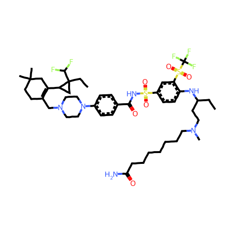 CCC(CCN(C)CCCCCCCC(N)=O)Nc1ccc(S(=O)(=O)NC(=O)c2ccc(N3CCN(CC4=C(C5CC5(CC)C(F)F)CC(C)(C)CC4)CC3)cc2)cc1S(=O)(=O)C(F)(F)F